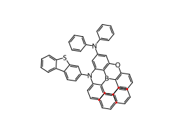 c1ccc(-c2cccc3c2B2c4c(cc(N(c5ccccc5)c5ccccc5)cc4N(c4ccc5c(c4)sc4ccccc45)c4cccc(-c5ccccc5)c42)O3)cc1